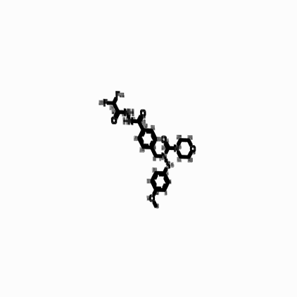 COc1ccc(SN(Cc2ccc(C(=O)NNC(=O)C(F)F)cc2)C(=O)N2CCOCC2)cc1